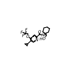 O=C(NC1(CO)CCCCC1)c1cc(OCC(F)(F)F)c(C2CC2)cn1